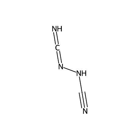 N#CNN=C=N